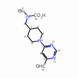 CC(C)(C)N(CC1CCN(c2cc(C=O)ncn2)CC1)C(=O)O